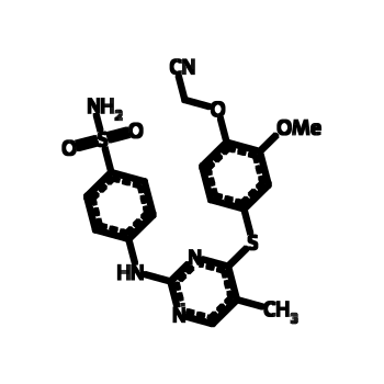 COc1cc(Sc2nc(Nc3ccc(S(N)(=O)=O)cc3)ncc2C)ccc1OCC#N